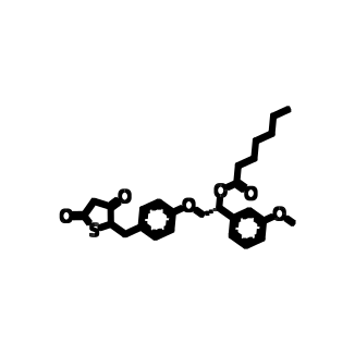 CCCCCCC(=O)O[C@@H](COc1ccc(CC2SC(=O)CC2=O)cc1)c1cccc(OC)c1